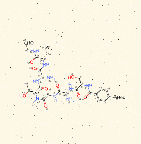 CCCCCCc1ccc(C(=O)N[C@H](CO)C(=O)N[C@H](N)C(=O)NCC(=O)N(C)[C@H](C(=O)N[C@@H](N)C(=O)N[C@@H](CC(C)C)C(=O)NCC=O)C(C)O)cc1